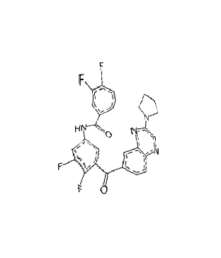 O=C(Nc1cc(F)c(F)c(C(=O)c2ccc3ncc(N4CCCC4)nc3c2)c1)c1ccc(F)c(F)c1